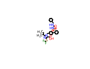 CCC(C)c1nc(SC(F)F)c(C(=O)O)n1Cc1ccc(-c2ccccc2S(=O)(=O)NC(=O)NCc2ccccc2)cc1